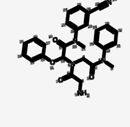 CN(C(=O)CN(C(=O)CN)C(Oc1ccccc1)C(=O)N(C)c1cccc(C#N)c1)c1ccccc1